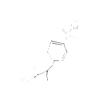 CC1(C(=O)O)CC1c1ccc(S(N)(=O)=O)cc1